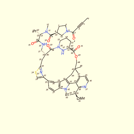 CC#CC(=O)N1CC[C@H](C(=O)N(C)[C@H](C(=O)NC[C@H]2Cc3nc(cs3)-c3ccc4c(c3)c(c(-c3cccnc3[C@H](C)OC)n4CC)CC(C)(C)COC(=O)[C@@H]3CCCN(N3)C2=O)C(C)C)C1